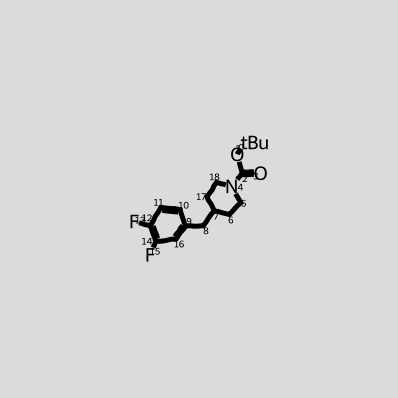 CC(C)(C)OC(=O)N1CCC(Cc2ccc(F)c(F)c2)CC1